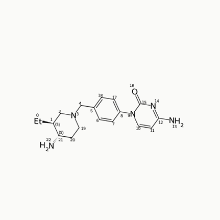 CC[C@H]1CN(Cc2ccc(-n3ccc(N)nc3=O)cc2)CC[C@@H]1N